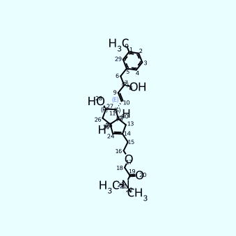 Cc1cccc(C[C@@H](O)/C=C/[C@@H]2[C@H]3CC(CCOCC(=O)N(C)C)=C[C@H]3C[C@H]2O)c1